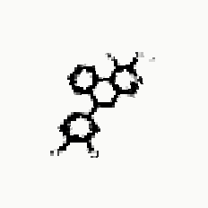 N#Cc1c(N)ncc2c1-c1ccccc1C(c1ccc(Cl)c(Cl)c1)C2